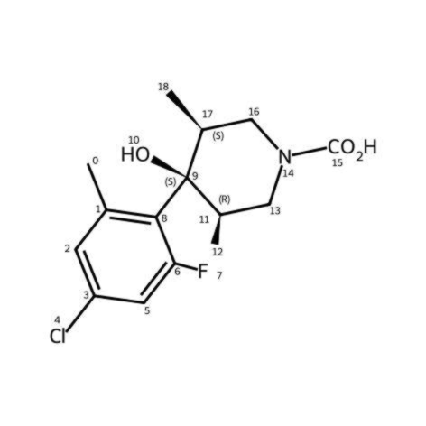 Cc1cc(Cl)cc(F)c1[C@@]1(O)[C@H](C)CN(C(=O)O)C[C@@H]1C